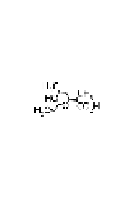 C=CCOC(CC(C)O)=C(C)C(=O)O